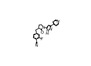 N#Cc1ccc(CC2CCN(c3cc(-c4ccncc4)n[nH]3)C2=O)cc1F